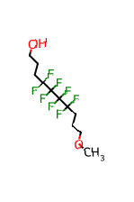 COCCCC(F)(F)C(F)(F)C(F)(F)C(F)(F)CCCO